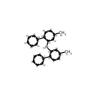 Cc1ccc(-c2ccccc2)c([N]c2cc(C)ccc2-c2ccccc2)c1